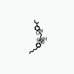 CCCCCc1ccc(S(=O)(=O)NCCc2nc3cc(C(C)CC)ccc3o2)cc1